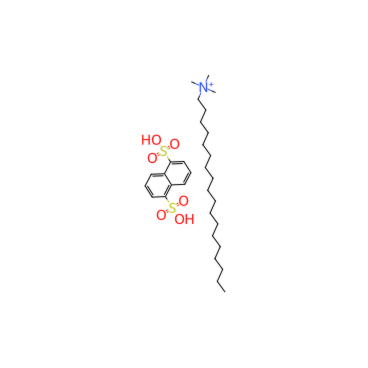 CCCCCCCCCCCCCCCCCC[N+](C)(C)C.O=S(=O)(O)c1cccc2c(S(=O)(=O)O)cccc12